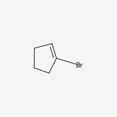 BrC1=CCCC1